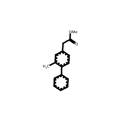 COC(=O)Cc1ccc(-c2ccccc2)c(C)c1